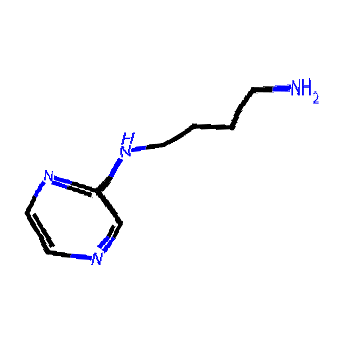 NCCCCNc1cnccn1